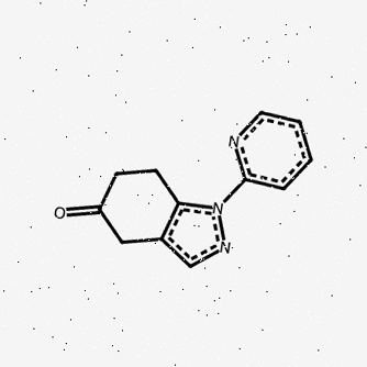 O=C1CCc2c(cnn2-c2ccccn2)C1